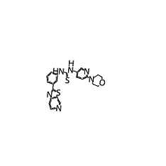 S=C(Nc1ccc(N2CCOCC2)nc1)Nc1cccc(-c2nc3ccncc3s2)c1